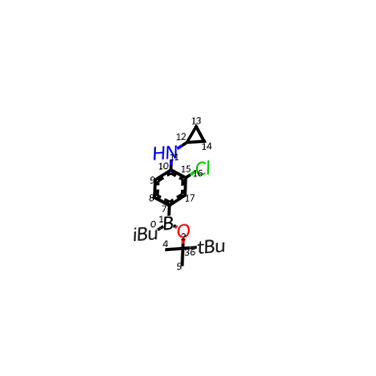 CCC(C)B(OC(C)(C)C(C)(C)C)c1ccc(NC2CC2)c(Cl)c1